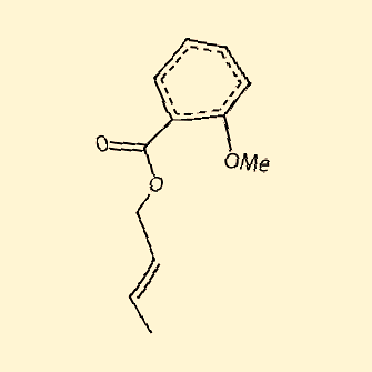 CC=CCOC(=O)c1ccccc1OC